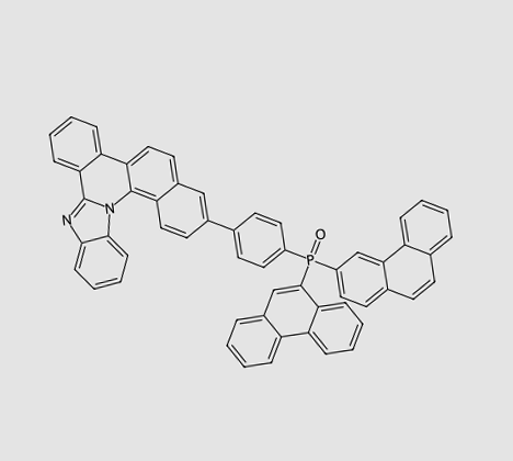 O=P(c1ccc(-c2ccc3c(ccc4c5ccccc5c5nc6ccccc6n5c34)c2)cc1)(c1ccc2ccc3ccccc3c2c1)c1cc2ccccc2c2ccccc12